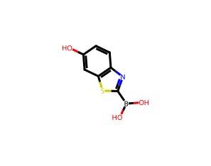 OB(O)c1nc2ccc(O)cc2s1